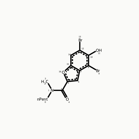 CCCCCN(C)C(=O)c1cc2c(Br)c(O)c(Br)cc2o1